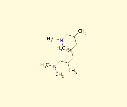 CC([CH2][Sn][CH2]C(C)CN(C)C)CN(C)C